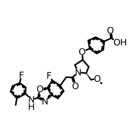 COC[C@@H]1CC(Oc2ccc(C(=O)O)cc2)CN1C(=O)Cc1ccc2nc(Nc3cc(F)ccc3C)oc2c1F